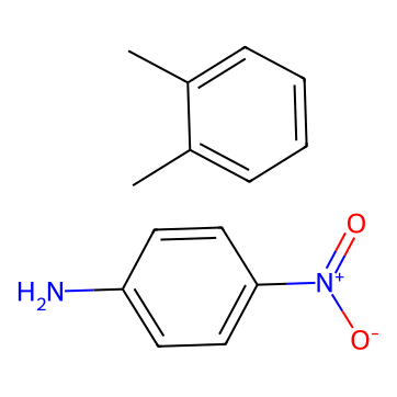 Cc1ccccc1C.Nc1ccc([N+](=O)[O-])cc1